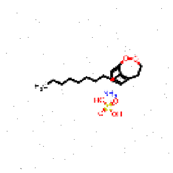 CCCCCCCCCc1c2cccc1OOCC2.N.O=S(=O)(O)O